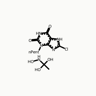 CC(O)(O)NO.CCCCCn1c(=O)[nH]c(=O)c2[nH]c(Cl)nc21